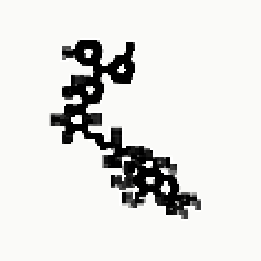 Cc1c(C)c(S(=O)(=O)NC(=N)NCCC[C@H](NC(=O)c2ccc(C(c3cccc(F)c3)c3cccc(F)c3)[nH]c2=O)C(=O)O)c(C)c2c1OC(C)(C)CC2